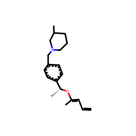 C=C/C=C(\C)O[C@H](C)c1ccc(CN2CCCC(C)C2)cc1